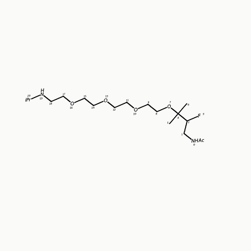 CC(=O)NCC(F)C(C)(C)OCCOCCOCCOCCNC(C)C